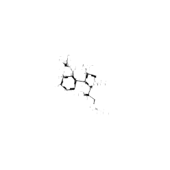 CCCOCC(=O)c1[nH]cc(C#N)c1-c1cccc2c1OC(F)(F)O2